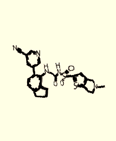 CN1CCc2sc(S(=O)(=O)NC(=O)Nc3c(-c4cncc(C#N)c4)ccc4c3CCC4)cc2C1